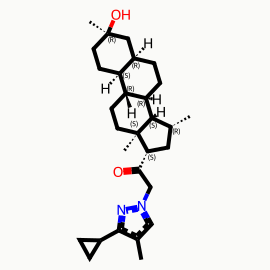 Cc1cn(CC(=O)[C@H]2C[C@@H](C)[C@H]3[C@@H]4CC[C@@H]5C[C@](C)(O)CC[C@@H]5[C@H]4CC[C@@]32C)nc1C1CC1